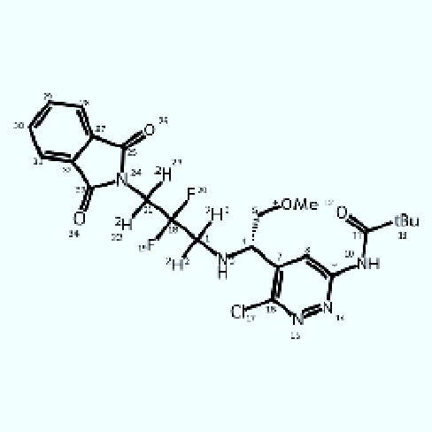 [2H]C([2H])(N[C@H](COC)c1cc(NC(=O)C(C)(C)C)nnc1Cl)C(F)(F)C([2H])([2H])N1C(=O)c2ccccc2C1=O